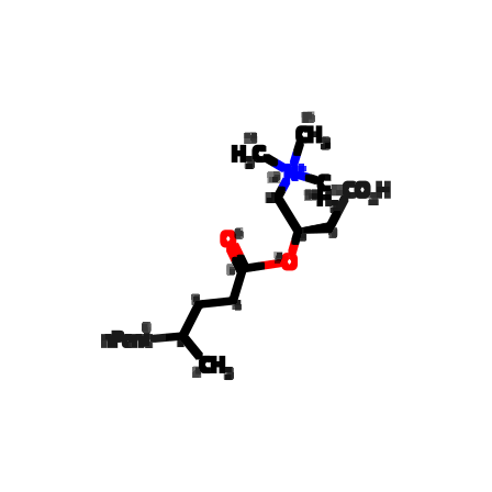 CCCCCC(C)CCC(=O)O[C@H](CC(=O)O)C[N+](C)(C)C